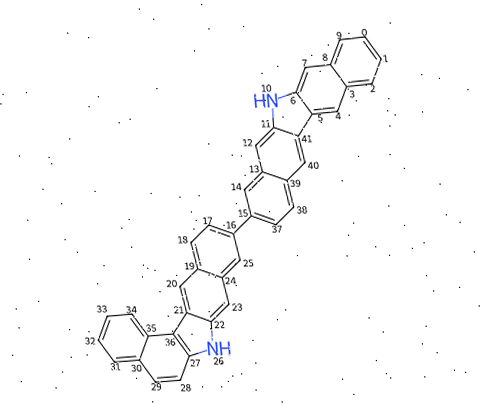 c1ccc2cc3c(cc2c1)[nH]c1cc2cc(-c4ccc5cc6c(cc5c4)[nH]c4ccc5ccccc5c46)ccc2cc13